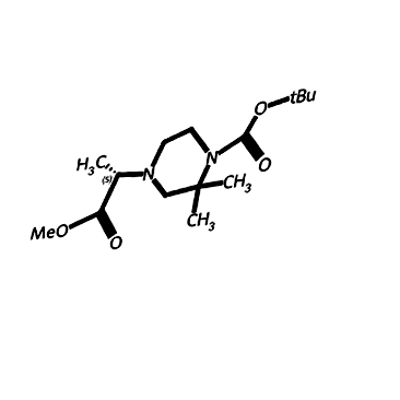 COC(=O)[C@H](C)N1CCN(C(=O)OC(C)(C)C)C(C)(C)C1